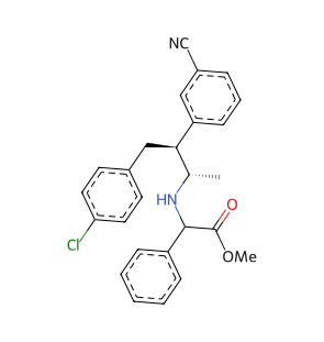 COC(=O)C(N[C@@H](C)[C@@H](Cc1ccc(Cl)cc1)c1cccc(C#N)c1)c1ccccc1